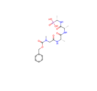 C[C@H](NC(=O)CN(C)C(=O)OCc1ccccc1)C(=O)N[C@@H](C)C(=O)N[C@@H](C)P(=O)(O)O